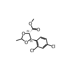 COC(=O)[C@H]1OC(C)O[C@@H]1c1ccc(Cl)cc1Cl